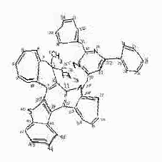 CC1(C)c2ccccc2-c2c1c1c(c3ccccc3n1-c1cc(-c3ccccc3)nc(-c3ccccc3)n1)c1c2sc2ccccc21